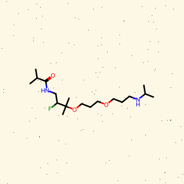 CC(C)NCCCOCCCOC(C)(C)C(F)CNC(=O)C(C)C